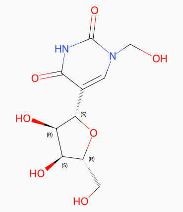 O=c1[nH]c(=O)n(CO)cc1[C@@H]1O[C@H](CO)[C@@H](O)[C@H]1O